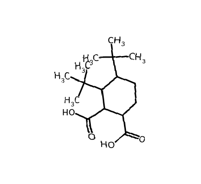 CC(C)(C)C1CCC(C(=O)O)C(C(=O)O)C1C(C)(C)C